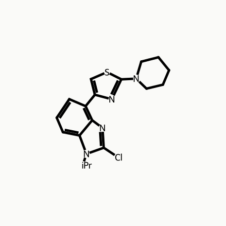 CC(C)n1c(Cl)nc2c(-c3csc(N4CCCCC4)n3)cccc21